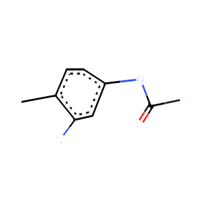 Cc1ccc(NC(=O)C(C)(C)C)cc1N